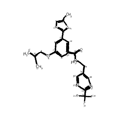 Cc1cnc(-c2cc(OCC(C)C)cc(C(=O)NCc3cnc(C(F)(F)F)nc3)c2)s1